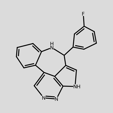 Fc1cccc(C2Nc3ccccc3-c3cnnc4[nH]cc2c34)c1